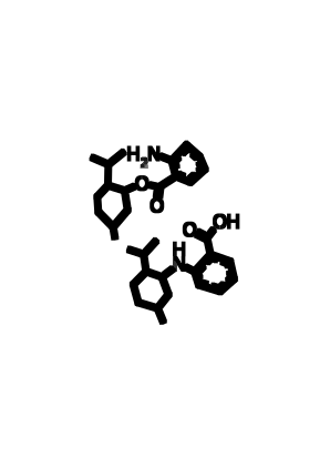 CC1CCC(C(C)C)C(Nc2ccccc2C(=O)O)C1.CC1CCC(C(C)C)C(OC(=O)c2ccccc2N)C1